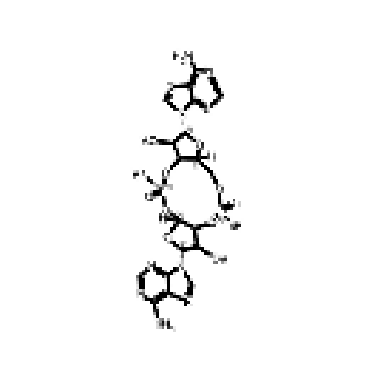 Nc1ncnc2c1ncn2[C@@H]1O[C@@H]2O[P@@](=O)(S)OC3C(O)[C@H](n4cnc5c(N)ncnc54)O[C@@H]3CO[P@@](=O)(S)OC2C1O